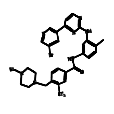 CCN1CCN(Cc2ccc(C(=O)Nc3ccc(C)c(Nc4nccc(-c5cncc(Br)c5)n4)c3)cc2C(F)(F)F)CC1